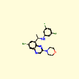 CC(Nc1cc(F)cc(F)c1)c1cc(Br)cc2ncc(N3CCOCC3)nc12